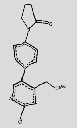 COCc1cc(Cl)ncc1-c1ccc(N2CCCC2=O)cc1